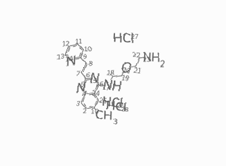 Cc1ccc2nc(C=Cc3ccccn3)nc(NCCOCCN)c2c1.Cl.Cl.Cl